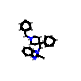 Cc1nc2ccccc2n1CC1(c2ccccc2)CCN(Cc2ccccc2)CC1